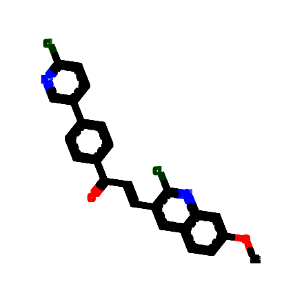 CCOc1ccc2cc(/C=C/C(=O)c3ccc(-c4ccc(Cl)nc4)cc3)c(Cl)nc2c1